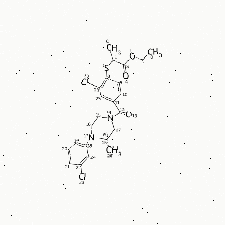 CCOC(=O)C(C)Sc1ccc(C(=O)N2CCN(c3cccc(Cl)c3)[C@@H](C)C2)cc1Cl